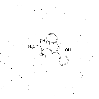 CC(C)N(C)c1nc(-c2ccccc2O)nc2ccccc12